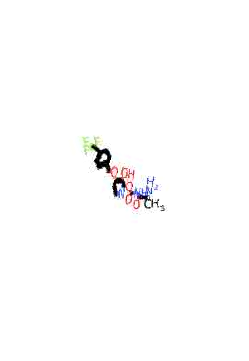 C[C@H](N)C(=O)NC(=O)Oc1nccc(OCc2ccc(C(F)(F)F)cc2)c1O